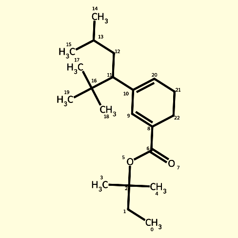 CCC(C)(C)OC(=O)C1=CC(C(CC(C)C)C(C)(C)C)=CCC1